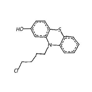 Oc1ccc2c(c1)N(CCCCCl)c1ccccc1S2